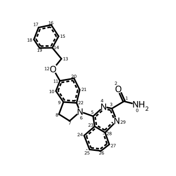 NC(=O)c1nc(N2CCc3cc(OCc4ccccc4)ccc32)c2c[c]ccc2n1